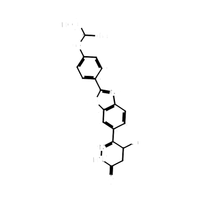 CCC1CC(=O)NN=C1c1ccc2nc(-c3ccc(OC(C(=O)O)C(C)(C)C)cc3)oc2c1